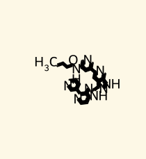 CCCCC(=O)Nc1cncc(-c2cc3c(-c4nc5c(-c6cccnc6)nccc5[nH]4)n[nH]c3cn2)c1